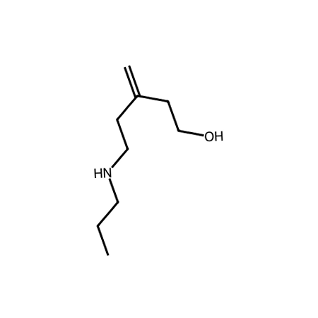 C=C(CCO)CCNCCC